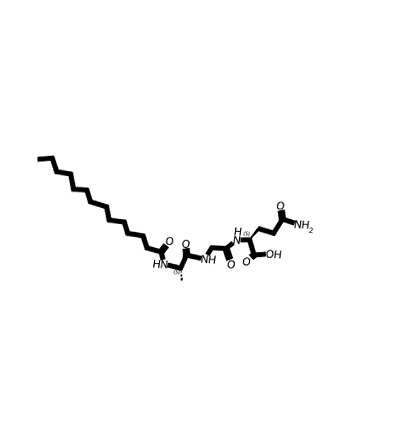 CCCCCCCCCCCCCC(=O)N[C@@H](C)C(=O)NCC(=O)N[C@@H](CCC(N)=O)C(=O)O